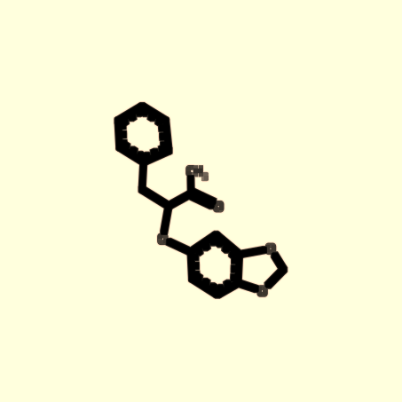 CC(=O)C(Cc1ccccc1)Oc1ccc2c(c1)OCO2